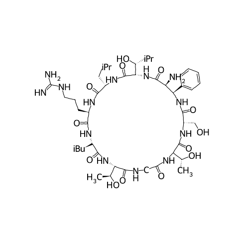 CC[C@H](C)[C@@H]1NC(=O)[C@@H](CCCNC(=N)N)NC(=O)[C@H](CC(C)C)NC(=O)[C@H]([C@H](O)C(C)C)NC(=O)[C@@H](N)[C@@H](c2ccccc2)NC(=O)[C@H](CO)NC(=O)C([C@@H](C)O)NC(=O)CNC(=O)[C@H]([C@H](C)O)NC1=O